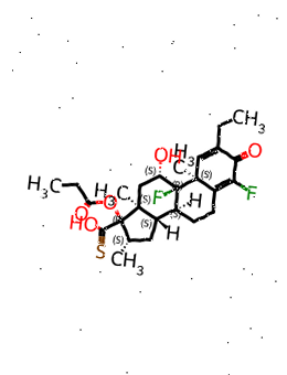 CCC(=O)O[C@]1(C(O)=S)[C@@H](C)C[C@H]2[C@@H]3CCC4=C(F)C(=O)C(CC)=C[C@]4(C)[C@@]3(F)[C@@H](O)C[C@@]21C